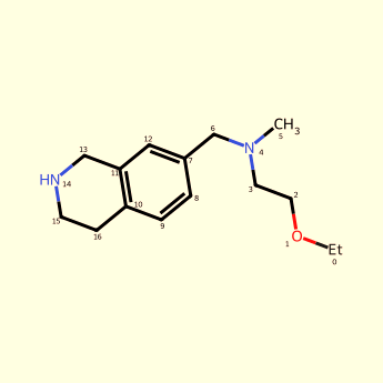 CCOCCN(C)Cc1ccc2c(c1)CNCC2